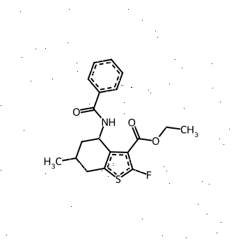 CCOC(=O)c1c(F)sc2c1C(NC(=O)c1ccccc1)CC(C)C2